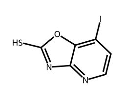 Sc1nc2nccc(I)c2o1